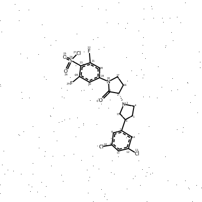 O=C1[C@@H](N2CCC(c3cc(Cl)cc(Cl)c3)C2)CCN1c1cc(F)c(S(=O)(=O)Cl)c(F)c1